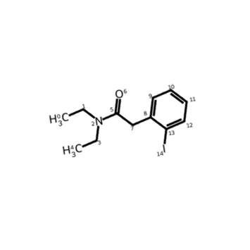 CCN(CC)C(=O)Cc1ccccc1I